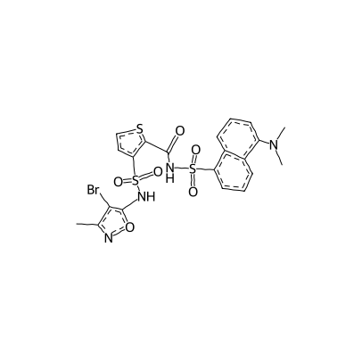 Cc1noc(NS(=O)(=O)c2ccsc2C(=O)NS(=O)(=O)c2cccc3c(N(C)C)cccc23)c1Br